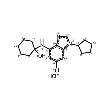 Cl.OC1(Nc2nc(Cl)nc3c2ncn3C2CCCC2)CCCCC1